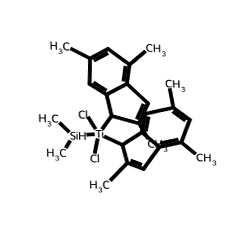 CC1=Cc2c(C)cc(C)cc2[CH]1[Ti]([Cl])([Cl])([CH]1C(C)=Cc2c(C)cc(C)cc21)[SiH](C)C